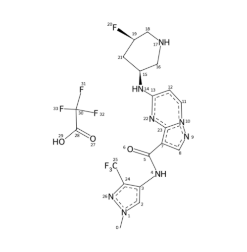 Cn1cc(NC(=O)c2cnn3ccc(N[C@@H]4CNC[C@H](F)C4)nc23)c(C(F)(F)F)n1.O=C(O)C(F)(F)F